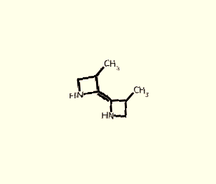 CC1CN/C1=C1\NCC1C